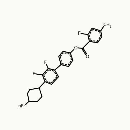 CCCC1CCC(c2ccc(-c3ccc(OC(=O)c4ccc(C)cc4F)cc3)c(F)c2F)CC1